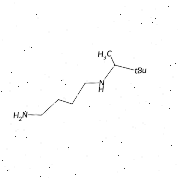 CC(NCCCCN)C(C)(C)C